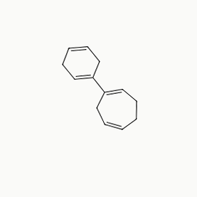 C1=CCC(C2=CCCC=CC2)=CC1